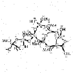 CO[Si](C)(O)O[Si@](O)(OC)O[Si]1(OC)O[Si]2(OC)O[Si@@](OC)(O[Si]3(O)OC(C)[Si@@](OC)(O3)O2)O[Si@](C)(OC)O1